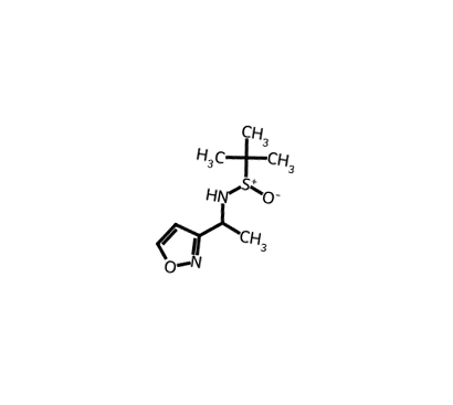 CC(N[S+]([O-])C(C)(C)C)c1ccon1